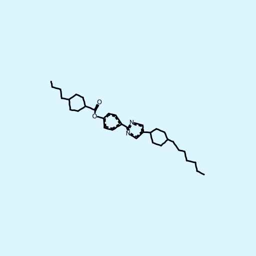 CCCCCCCC1CCC(c2cnc(-c3ccc(OC(=O)C4CCC(CCCC)CC4)cc3)nc2)CC1